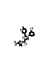 COc1cccc(-n2nc(C(=O)N3CC(N(C)C)C3(C)C)nc2-c2ccc(C)nc2)c1